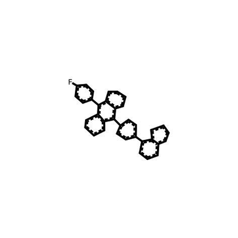 Fc1ccc(-c2c3ccccc3c(-c3ccc(-c4cccc5ccccc45)cc3)c3ccccc23)cc1